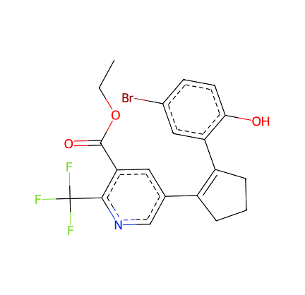 CCOC(=O)c1cc(C2=C(c3cc(Br)ccc3O)CCC2)cnc1C(F)(F)F